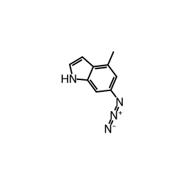 Cc1cc(N=[N+]=[N-])cc2[nH]ccc12